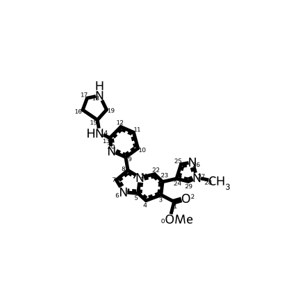 COC(=O)c1cc2ncc(-c3cccc(NC4CCNC4)n3)n2cc1-c1cnn(C)c1